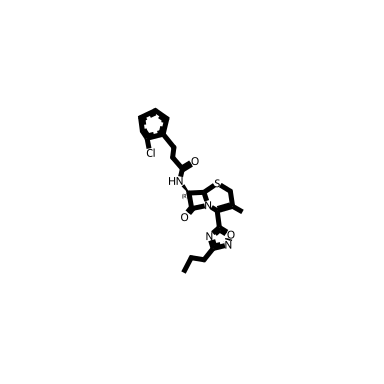 CCCc1noc(C2=C(C)CSC3[C@H](NC(=O)CCc4ccccc4Cl)C(=O)N23)n1